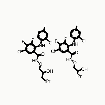 CC(C)C(O)CONC(=O)c1cc(Cl)c(F)c(F)c1Nc1ccc(I)cc1Cl.CC(C)CC(O)CONC(=O)c1cc(Cl)c(F)c(F)c1Nc1ccc(I)cc1Cl